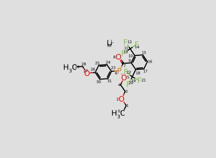 CCOCCOP(C(=O)c1c(C(F)(F)F)cccc1C(F)(F)F)c1ccc(OCC)cc1.[Li]